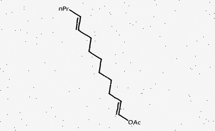 CCCC=CCCCCCCC=COC(C)=O